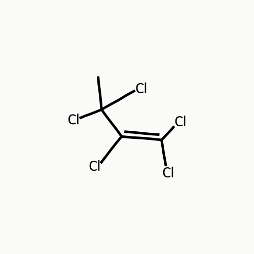 CC(Cl)(Cl)C(Cl)=C(Cl)Cl